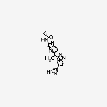 CC(c1ccc2nc(NC(=O)C3CC3)cn2n1)c1nnc2ccc(-c3cn[nH]c3)cn12